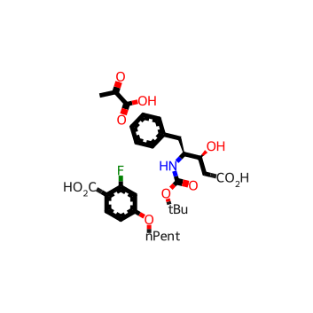 CC(=O)C(=O)O.CC(C)(C)OC(=O)N[C@@H](Cc1ccccc1)[C@@H](O)CC(=O)O.CCCCCOc1ccc(C(=O)O)c(F)c1